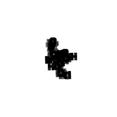 O=c1[nH]ccc(NC[C@@H](O)c2cccc(Cl)c2)c1-c1nc2c(Br)cc(CN3CCOCC3)cc2[nH]1